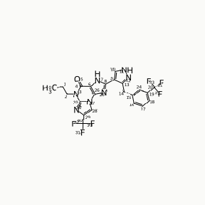 CCCn1c(=O)c2[nH]c(-c3c[nH]nc3Cc3cccc(C(F)(F)F)c3)nc2n2cc(C(F)(F)F)nc12